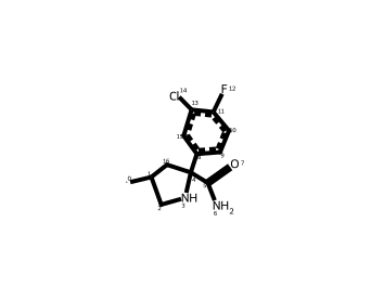 [CH2]C1CNC(C(N)=O)(c2ccc(F)c(Cl)c2)C1